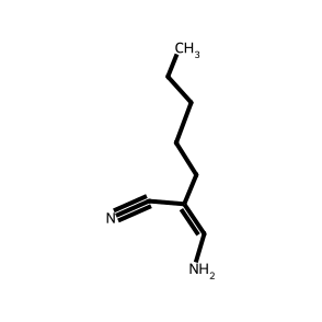 CCCCC/C(C#N)=C/N